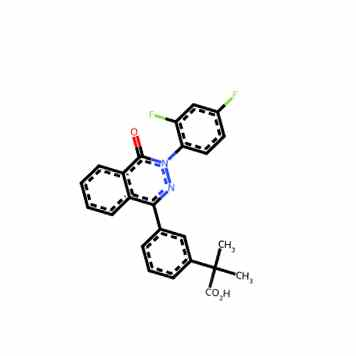 CC(C)(C(=O)O)c1cccc(-c2nn(-c3ccc(F)cc3F)c(=O)c3ccccc23)c1